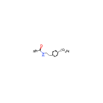 CCCC(=O)NCCc1ccc(C(=O)O)cc1